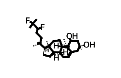 C[C@H](CCC(F)C(C)(C)F)[C@H]1CC[C@H]2[C@@H]3CC=C4C[C@@H](O)CC(O)[C@]4(C)[C@H]3CC[C@]12C